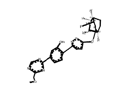 COc1ncnc(-c2ccc(-c3ccc(O[C@@H]4[C@H]5CC[C@H](NC5)[C@@H]4F)nn3)c(O)c2)n1